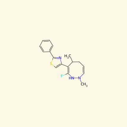 CC1C/C=C\N(C)N/C(F)=C\1c1csc(-c2ccccc2)n1